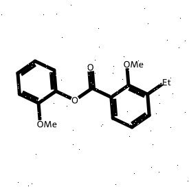 CCc1cccc(C(=O)Oc2ccccc2OC)c1OC